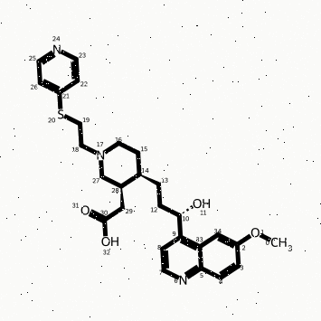 COc1ccc2nccc([C@@H](O)CC[C@@H]3CCN(CCSc4ccncc4)C[C@@H]3CC(=O)O)c2c1